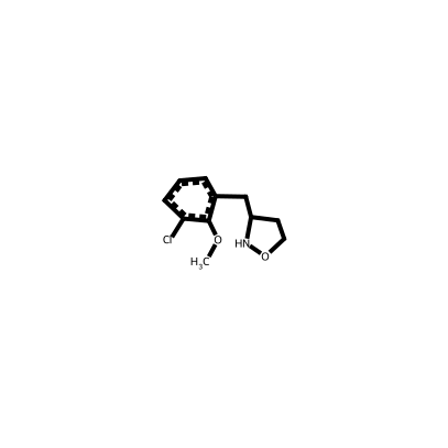 COc1c(Cl)cccc1CC1CCON1